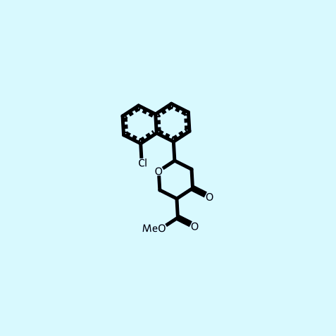 COC(=O)C1COC(c2cccc3cccc(Cl)c23)CC1=O